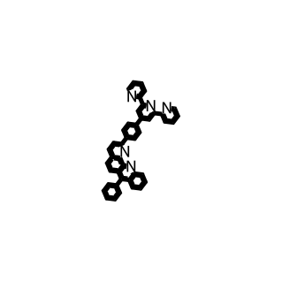 c1ccc(-c2c3ccccc3nc3c2ccc2ccc(-c4ccc(-c5cc(-c6ccccn6)nc(-c6ccccn6)c5)cc4)nc23)cc1